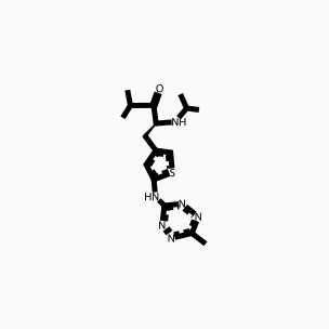 Cc1nnc(Nc2cc(C[C@H](NC(C)C)C(=O)C(C)C)cs2)nn1